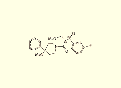 CC[C@@H](c1cccc(F)c1)[C@@H](CNC)C(=O)N1CCC(NC)(c2ccccc2)CC1